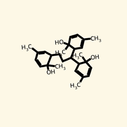 CC1=CC(CCC(C2C=C(C)C=CC2(C)O)C2C=C(C)C=CC2(C)O)C(C)(O)C=C1